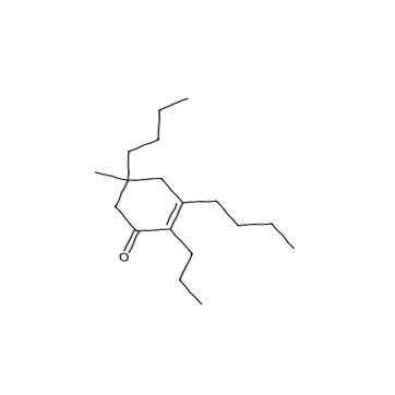 CCCCC1=C(CCC)C(=O)CC(C)(CCCC)C1